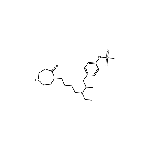 CCN(CCCCN1CCNCCC1=O)C(C)Cc1ccc(NS(C)(=O)=O)cc1